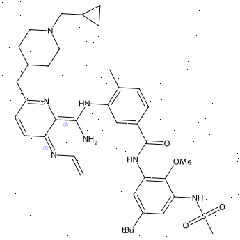 C=C/N=C1/C=CC(CC2CCN(CC3CC3)CC2)=N/C1=C(/N)Nc1cc(C(=O)Nc2cc(C(C)(C)C)cc(NS(C)(=O)=O)c2OC)ccc1C